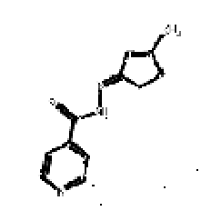 CC1=CC(=NNC(=O)c2ccncc2)CC1